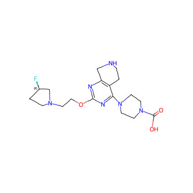 O=C(O)N1CCN(c2nc(OCCN3CC[C@@H](F)C3)nc3c2CCNC3)CC1